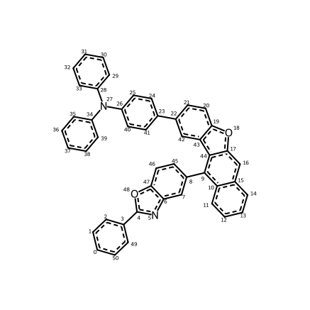 c1ccc(-c2nc3cc(-c4c5ccccc5cc5oc6ccc(-c7ccc(N(c8ccccc8)c8ccccc8)cc7)cc6c45)ccc3o2)cc1